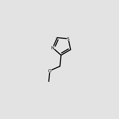 COCc1cs[c]n1